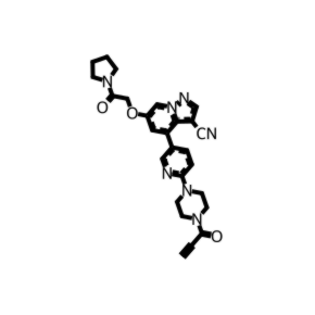 C#CC(=O)N1CCN(c2ccc(-c3cc(OCC(=O)N4CCCC4)cn4ncc(C#N)c34)cn2)CC1